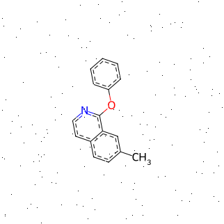 Cc1ccc2ccnc(Oc3ccccc3)c2c1